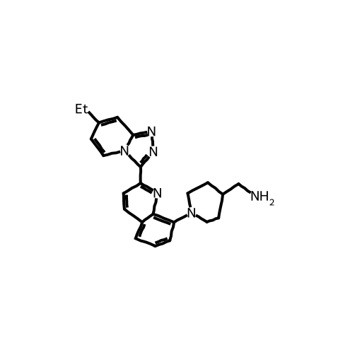 CCc1ccn2c(-c3ccc4cccc(N5CCC(CN)CC5)c4n3)nnc2c1